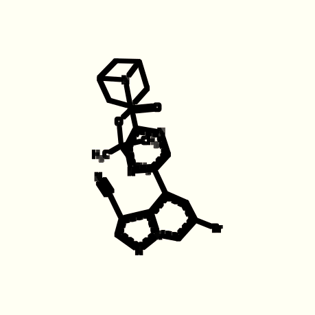 CC(C)(C)OC(=O)N1C2CC1CN(c1cnc(-c3cc(Br)cn4ncc(C#N)c34)cn1)C2